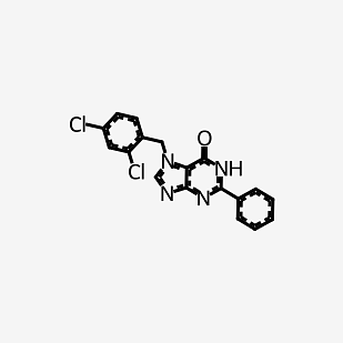 O=c1[nH]c(-c2ccccc2)nc2ncn(Cc3ccc(Cl)cc3Cl)c12